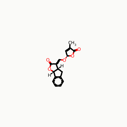 CC1=C[C@H](O/C=C2/C(=O)O[C@H]3c4ccccc4C[C@@H]23)OC1=O